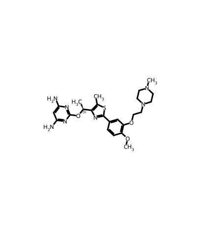 COc1ccc(-c2nc([C@H](C)Oc3nc(N)cc(N)n3)c(C)s2)cc1OCCN1CCN(C)CC1